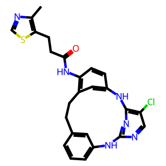 Cc1ncsc1CCC(=O)Nc1ccc2cc1CCc1cccc(c1)Nc1ncc(Cl)c(n1)N2